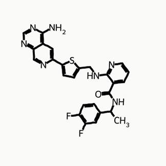 CC(NC(=O)c1cccnc1NCc1ccc(-c2cc3c(N)ncnc3cn2)s1)c1ccc(F)c(F)c1